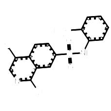 O=C(O)c1ccccc1NS(=O)(=O)c1ccc2c(Cl)cnc(Cl)c2c1